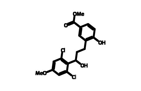 COC(=O)c1ccc(O)c(CCC(O)c2c(Cl)cc(OC)cc2Cl)c1